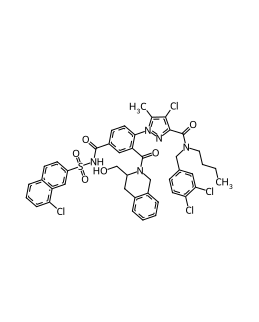 CCCCN(Cc1ccc(Cl)c(Cl)c1)C(=O)c1nn(-c2ccc(C(=O)NS(=O)(=O)c3ccc4cccc(Cl)c4c3)cc2C(=O)N2Cc3ccccc3CC2CO)c(C)c1Cl